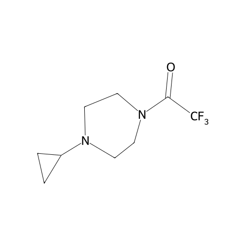 O=C(N1CCN(C2CC2)CC1)C(F)(F)F